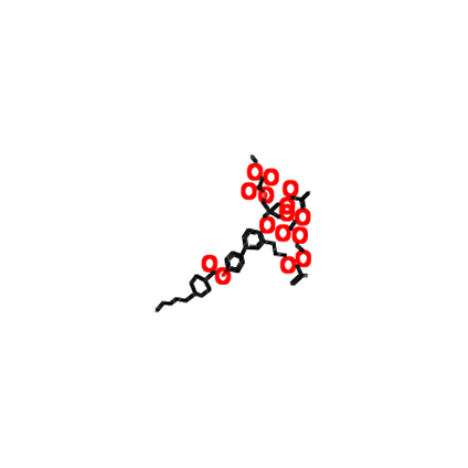 C=C(C)C(=O)OCCCc1cc(-c2ccc(OC(=O)C3CCC(CCCCC)CC3)cc2)ccc1OCC(COC(=O)C(=C)C)(COC(=O)C(=O)OCC)COC(=O)C(=O)OCC